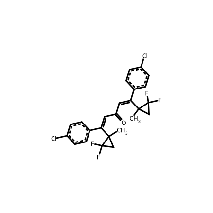 CC1(C(=CC(=O)C=C(c2ccc(Cl)cc2)C2(C)CC2(F)F)c2ccc(Cl)cc2)CC1(F)F